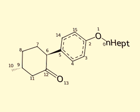 CCCCCCCOc1ccc([C@@H]2CC[C@@H](C)CC2=O)cc1